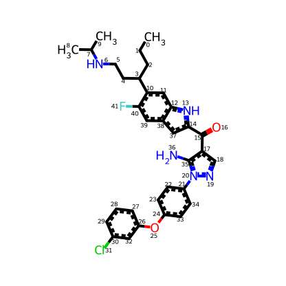 CCCC(CCNC(C)C)c1cc2[nH]c(C(=O)c3cnn(-c4ccc(Oc5cccc(Cl)c5)cc4)c3N)cc2cc1F